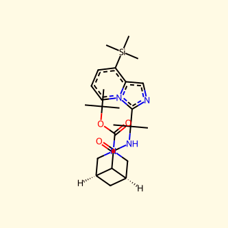 CC(C)(C)OC(=O)N1C[C@H]2C[C@@H](C1)C2C(=O)NC(C)(C)c1ncc2c([Si](C)(C)C)cccn12